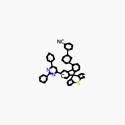 N#Cc1cccc(-c2cccc(-c3cccc4c3-c3cc(-c5cc(-c6ccccc6)nc(-c6ccccc6)n5)ccc3C43c4ccccc4Sc4ccccc43)c2)c1